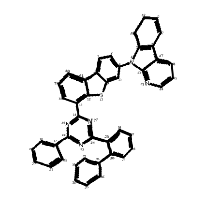 C1=Cc2c(n(-c3ccc4c(c3)sc3c(-c5nc(-c6ccccc6)nc(-c6ccccc6-c6ccccc6)n5)cccc34)c3ncccc23)CC1